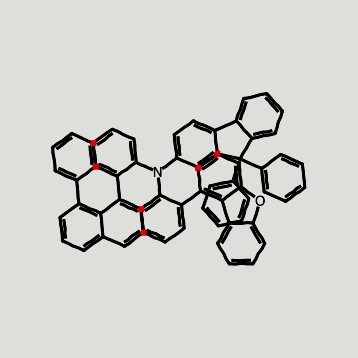 c1ccc(-c2cccc3cccc(-c4ccccc4N(c4ccc5c(c4)C(c4ccccc4)(c4ccccc4)c4ccccc4-5)c4ccccc4-c4cccc5oc6ccccc6c45)c23)cc1